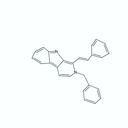 C(=Cc1c2nc3ccccc3c-2ccn1Cc1ccccc1)c1ccccc1